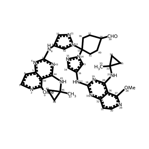 COc1nccc2nc(Nc3cnn(C4(n5cc(Nc6nc(NC7(C)CC7)c7c(OC)nccc7n6)cn5)CCC(C=O)CC4)c3)nc(NC3(C)CC3)c12